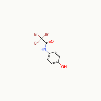 O=C(Nc1ccc(O)cc1)C(Br)(Br)Br